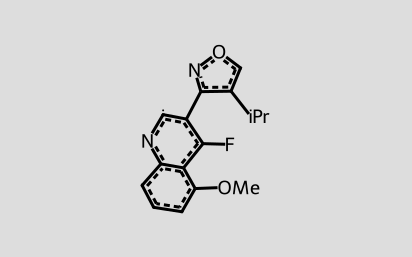 COc1cccc2n[c]c(-c3nocc3C(C)C)c(F)c12